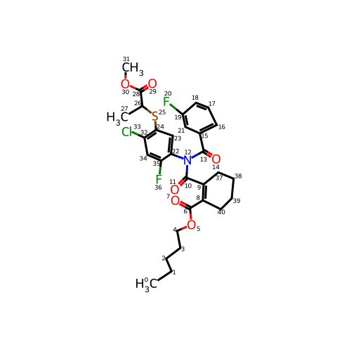 CCCCCOC(=O)C1=C(C(=O)N(C(=O)c2cccc(F)c2)c2cc(SC(C)C(=O)OC)c(Cl)cc2F)CCCC1